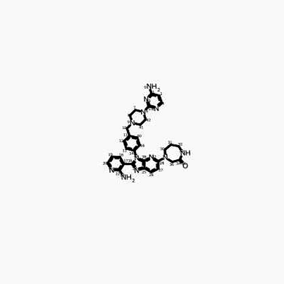 Nc1ccnc(N2CCN(Cc3ccc(-n4c(-c5cccnc5N)nc5ccc(N6CCCNC(=O)C6)nc54)cc3)CC2)n1